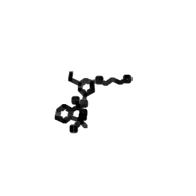 CCc1cc(OCCC[O])cc(OS(=O)(=O)c2ccccc2S(C)(=O)=O)c1